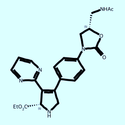 CCOC(=O)[C@H]1NCC(c2ccc(N3C[C@H](CNC(C)=O)OC3=O)cc2)=C1c1ncccn1